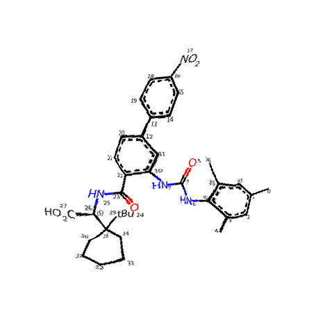 Cc1cc(C)c(NC(=O)Nc2cc(-c3ccc([N+](=O)[O-])cc3)ccc2C(=O)N[C@H](C(=O)O)C2(C(C)(C)C)CCCCC2)c(C)c1